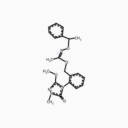 COc1nn(C)c(=O)n1-c1ccccc1CO/C(C)=N\OC(C)c1ccccc1